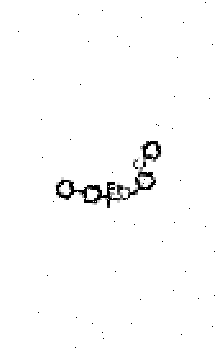 CCC(C)(COCc1cccc(Oc2ccccc2)c1)c1ccc(-c2ccccc2)cc1